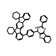 C1=C2C(=CC3C1c1ccccc1C31CCCCC1)C1(CCCCC1)c1cccc(-c3ccc(C4NC(c5ccccc5)=Nc5c4sc4c5=CCCC=4)cc3)c12